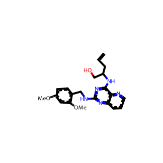 C=CCC(CO)Nc1nc(NCc2ccc(OC)cc2OC)nc2cccnc12